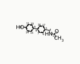 CC(=O)NCc1ccc(-c2ccc(O)cc2)cc1